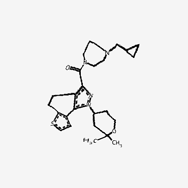 CC1(C)CC(n2nc(C(=O)N3CCN(CC4CC4)CC3)c3c2-c2ccsc2CC3)CCO1